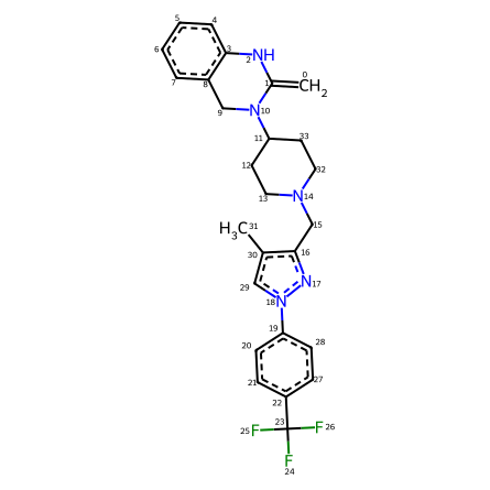 C=C1Nc2ccccc2CN1C1CCN(Cc2nn(-c3ccc(C(F)(F)F)cc3)cc2C)CC1